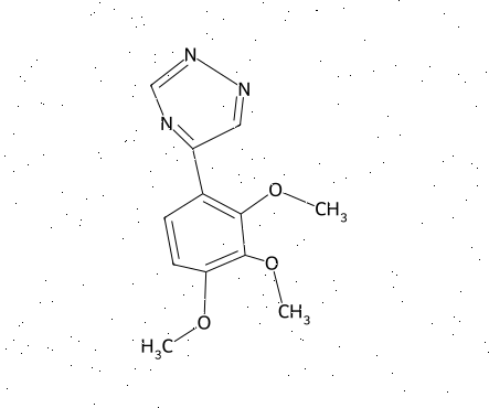 COc1ccc(-c2cnncn2)c(OC)c1OC